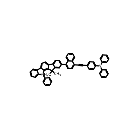 CC1(C)c2cc(-c3ccc(C#Cc4ccc(N(c5ccccc5)c5ccccc5)cc4)c4ccccc34)ccc2-c2ccc3c4ccccc4n(-c4ccccc4)c3c21